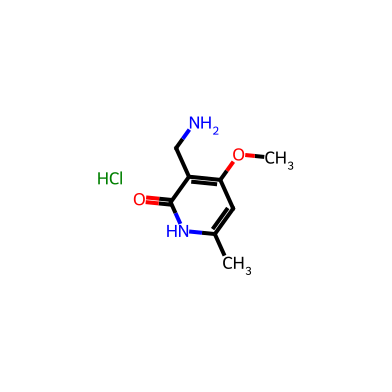 COc1cc(C)[nH]c(=O)c1CN.Cl